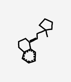 CC1(CC=C2CCCc3ccccc32)CCCC1